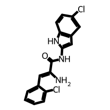 NC(=Cc1ccccc1Cl)C(=O)Nc1cc2cc(Cl)ccc2[nH]1